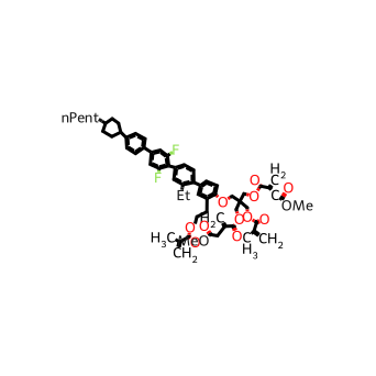 C=C(C)C(=O)OCCCc1cc(-c2ccc(-c3c(F)cc(-c4ccc(C5CCC(CCCCC)CC5)cc4)cc3F)cc2CC)ccc1OCC(COC(=O)C(=C)C)(COC(=O)C(=C)CC(=O)OC)COC(=O)C(=C)CC(=O)OC